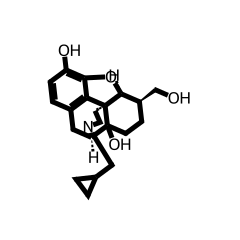 OC[C@H]1CCC2(O)[C@H]3Cc4ccc(O)c5c4[C@@]2(CCN3CC2CC2)[C@H]1O5